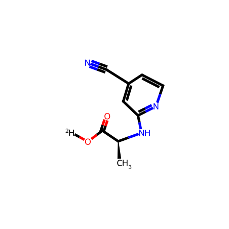 [2H]OC(=O)[C@H](C)Nc1cc(C#N)ccn1